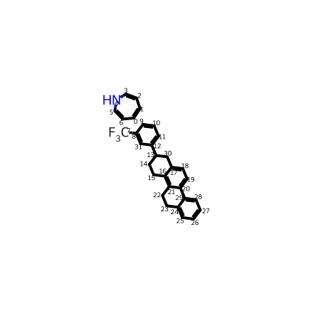 C1=CC=CNC=C1.FC(F)(F)c1cccc(C2CCc3c(ccc4c3CCc3ccccc3-4)C2)c1